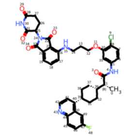 C[C@@H](C(=O)Nc1ccc(Cl)c(OCCCNc2cccc3c2C(=O)N(C2CCC(=O)NC2=O)C3=O)c1)[C@H]1CC[C@@H](c2ccnc3ccc(F)cc32)CC1